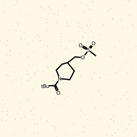 CC(C)(C)C(=O)N1CCC(COS(C)(=O)=O)CC1